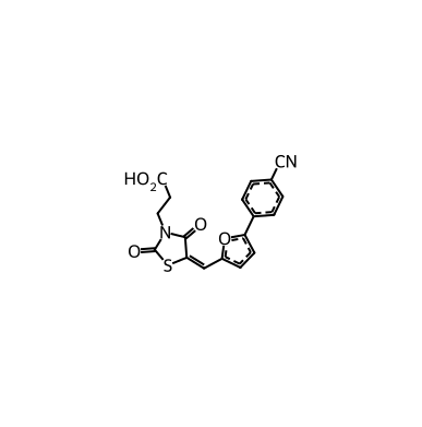 N#Cc1ccc(-c2ccc(C=C3SC(=O)N(CCC(=O)O)C3=O)o2)cc1